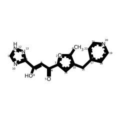 Cc1oc(C(=O)C=C(O)c2nc[nH]n2)cc1Cc1ccncc1